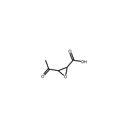 CC(=O)C1OC1C(=O)O